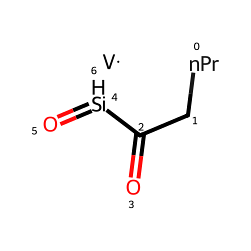 CCCCC(=O)[SiH]=O.[V]